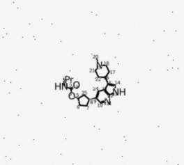 CC(C)NC(=O)O[C@@H]1CC[C@H](c2cnc3[nH]cc(C4CCN(C)CC4)c3c2)C1